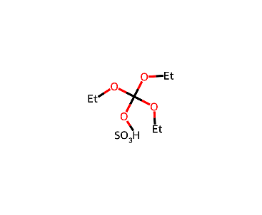 CCOC(OCC)(OCC)OS(=O)(=O)O